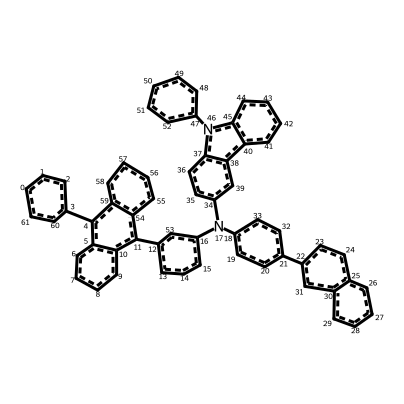 c1ccc(-c2c3ccccc3c(-c3cccc(N(c4ccc(-c5ccc6ccccc6c5)cc4)c4ccc5c(c4)c4ccccc4n5-c4ccccc4)c3)c3ccccc23)cc1